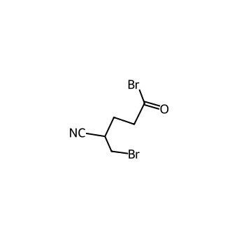 N#CC(CBr)CCC(=O)Br